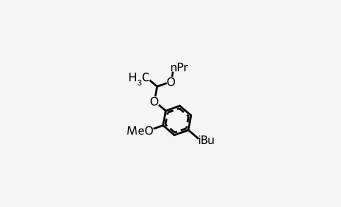 CCCOC(C)Oc1ccc(C(C)CC)cc1OC